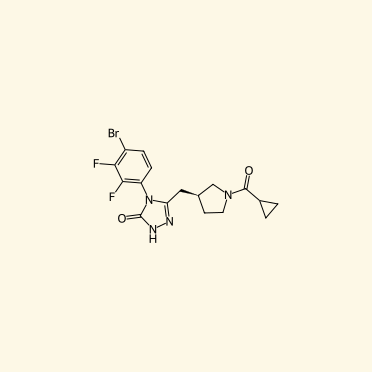 O=C(C1CC1)N1CC[C@@H](Cc2n[nH]c(=O)n2-c2ccc(Br)c(F)c2F)C1